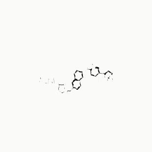 CC(=O)NC1CCN(Cc2ccc3cc(Oc4ccc(-c5ccn[nH]5)cn4)ccc3c2)C1